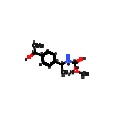 COC(=O)c1ccc(C(NC(=O)OC(C)(C)C)C(=O)O)cc1